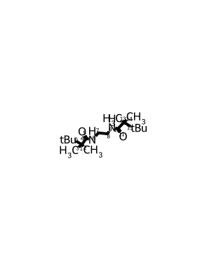 CC(C)(C)C(C)(C)C(=O)NCCNC(=O)C(C)(C)C(C)(C)C